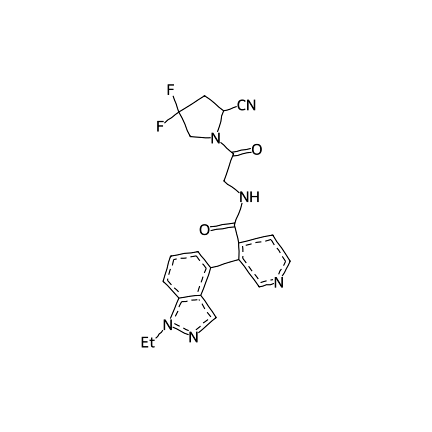 CCn1ncc2c(-c3cnccc3C(=O)NCC(=O)N3CC(F)(F)CC3C#N)cccc21